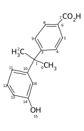 CC(C)(c1ccc(C(=O)O)cc1)c1cccc(O)c1